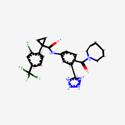 O=C(c1ccc(NC(=O)C2(c3ccc(C(F)(F)F)cc3F)CC2)cc1-c1nnn[nH]1)N1CCCCC1